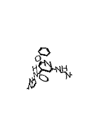 CN(C)CCNc1cc(C(=O)Nc2ccn(C)n2)cc(Oc2ccccc2)n1